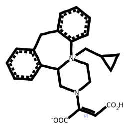 O=C(O)/C=C(/C(=O)[O-])N1CC[N+]2(CC3CC3)c3ccccc3Cc3ccccc3C2C1